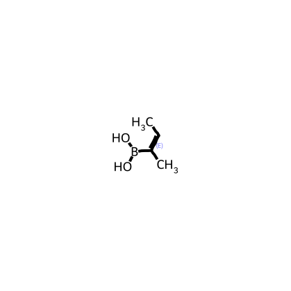 C/C=C(/C)B(O)O